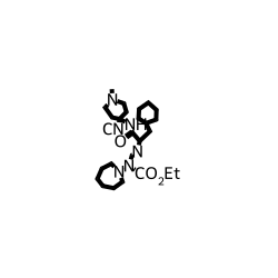 CCOC(=O)N(C=NC(CC1CCCCC1)C(=O)NC1(C#N)CCN(C)CC1)N1CCCCCC1